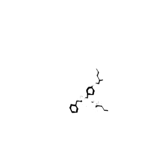 CCCC(=O)NC[C@H](NC(=O)Cc1ccccc1)c1ccc(OCC(C)CCC)cc1